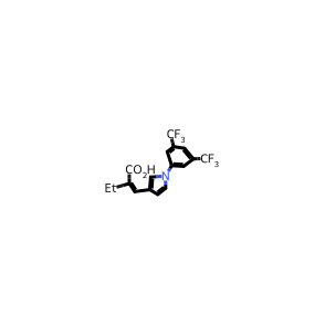 CCC(=Cc1ccn(-c2cc(C(F)(F)F)cc(C(F)(F)F)c2)c1)C(=O)O